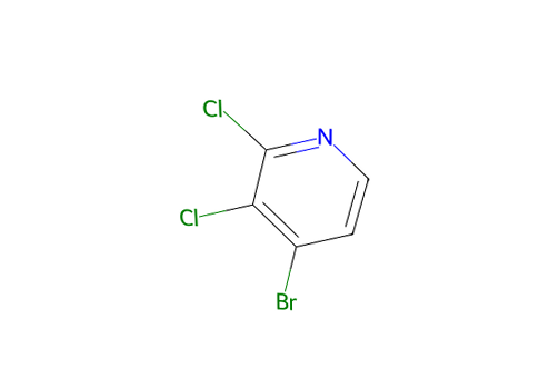 Clc1nccc(Br)c1Cl